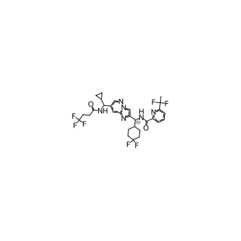 CC(F)(F)c1cccc(C(=O)N[C@H](c2cn3ncc(C(NC(=O)CCC(F)(F)F)C4CC4)cc3n2)C2CCC(F)(F)CC2)n1